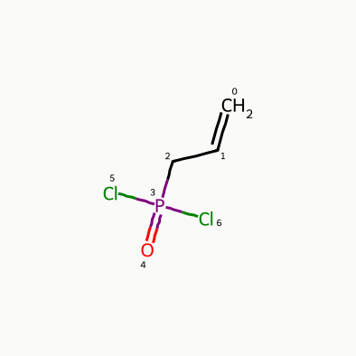 C=CCP(=O)(Cl)Cl